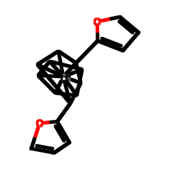 c1coc([C]23[CH]4[CH]5[C]6(c7ccco7)[CH]2[Fe]45362789[CH]3[CH]2[CH]7[CH]8[CH]39)c1